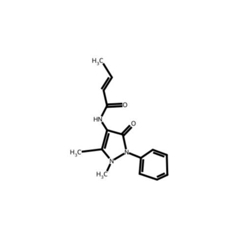 CC=CC(=O)Nc1c(C)n(C)n(-c2ccccc2)c1=O